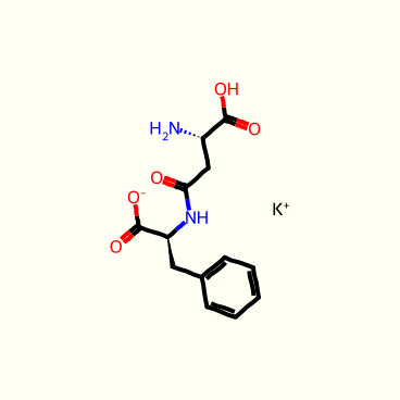 N[C@@H](CC(=O)N[C@@H](Cc1ccccc1)C(=O)[O-])C(=O)O.[K+]